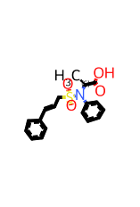 C[C@@H](C(=O)O)N(c1ccccc1)S(=O)(=O)CC=Cc1ccccc1